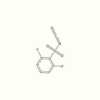 O=C=NS(=O)(=O)c1c(F)cccc1F